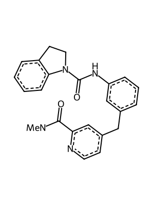 CNC(=O)c1cc(Cc2cccc(NC(=O)N3CCc4ccccc43)c2)ccn1